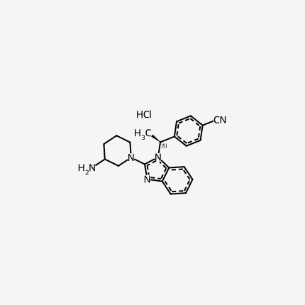 C[C@@H](c1ccc(C#N)cc1)n1c(N2CCCC(N)C2)nc2ccccc21.Cl